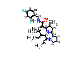 C=C=C1C(=C(C=C)C=C)N2/C(=C(\C)C(=O)NCc3ccc(F)cc3F)C(C)CC2C2CCCN12